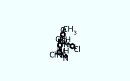 COc1ccc(NC(=O)N2CCN(c3cc(Cl)nc(-n4ccnc4)n3)CC2C(=O)NCc2ccc(Cl)cc2)cc1